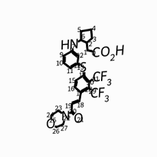 O=C(O)CC1CCCC1Nc1cccc(Sc2ccc(C=CC(=O)N3CCOCC3)c(C(F)(F)F)c2C(F)(F)F)c1